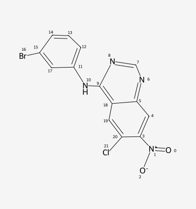 O=[N+]([O-])c1cc2ncnc(Nc3cccc(Br)c3)c2cc1Cl